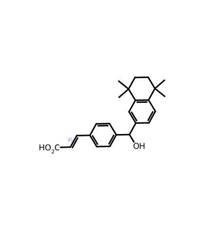 CC1(C)CCC(C)(C)c2cc(C(O)c3ccc(/C=C/C(=O)O)cc3)ccc21